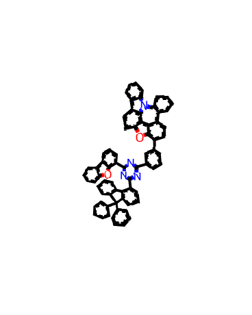 c1ccc(C2(c3ccccc3)c3ccccc3-c3c(-c4nc(-c5cccc(-c6ccc7c8ccccc8n8c9ccccc9c9ccc%10oc6c7c%10c98)c5)nc(-c5cccc6c5oc5ccccc56)n4)cccc32)cc1